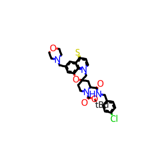 CC(C)(C)OC(=O)N1CCC2(CC1C(=O)NCc1ccc(Cl)cc1)Cn1ccc(=S)c3cc(CN4CCOCC4)cc(c31)O2